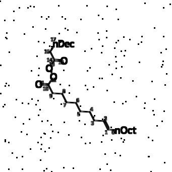 CCCCCCCCC=CCCCCCCCC(=O)OOC(=O)CCCCCCCCCCC